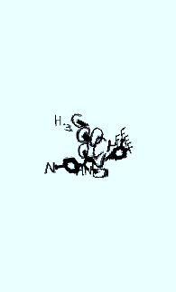 CCOC(=O)OC1=C(C)N(c2ccc(F)c(C(F)(F)F)c2)C(=O)NC1c1ccc(C#N)cc1